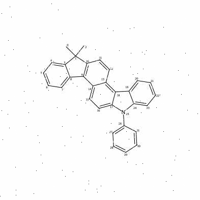 CC1(C)c2ccccc2-c2c1ccc1c2ccc2c1c1ccccc1n2-c1ccccc1